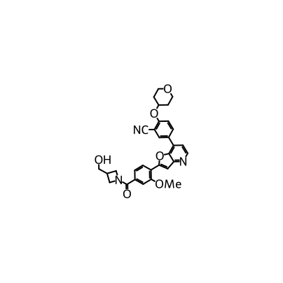 COc1cc(C(=O)N2CC(CO)C2)ccc1-c1cc2nccc(-c3ccc(OC4CCOCC4)c(C#N)c3)c2o1